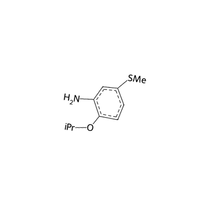 CSc1ccc(OC(C)C)c(N)c1